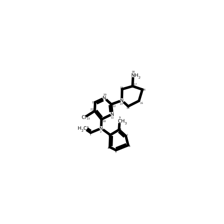 C=CN(c1ccccc1C)c1nc(N2CCCC(N)C2)ncc1Cl